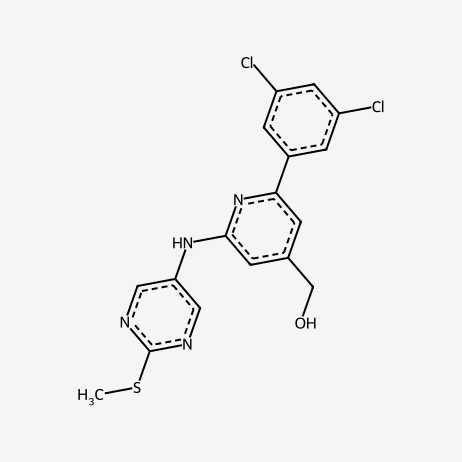 CSc1ncc(Nc2cc(CO)cc(-c3cc(Cl)cc(Cl)c3)n2)cn1